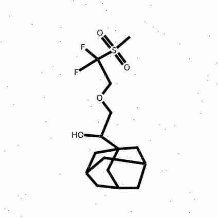 CS(=O)(=O)C(F)(F)COCC(O)C12CC3CC(CC(C3)C1)C2